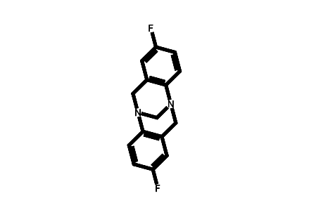 Fc1ccc2c(c1)CN1CN2Cc2cc(F)ccc21